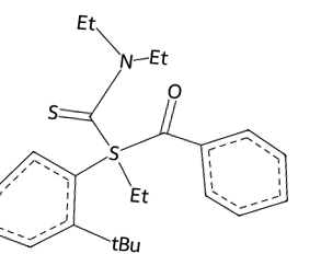 CCN(CC)C(=S)S(CC)(C(=O)c1ccccc1)c1ccccc1C(C)(C)C